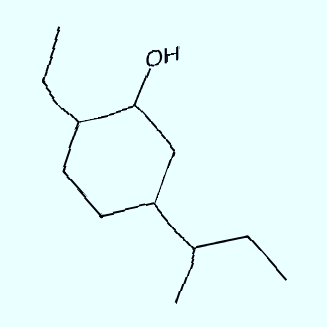 CCC(C)C1CCC(CC)C(O)C1